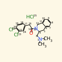 CN(C)CC1Cc2ccccc2CN1C(=O)Cc1ccc(Cl)c(Cl)c1.Cl